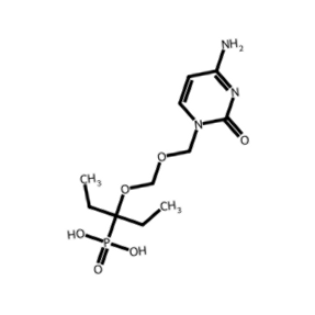 CCC(CC)(OCOCn1ccc(N)nc1=O)P(=O)(O)O